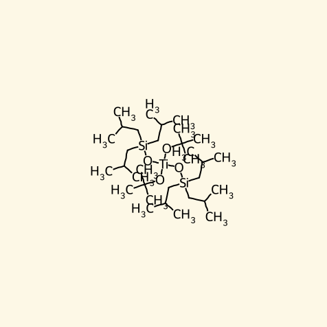 CC(C)C[Si](CC(C)C)(CC(C)C)[O][Ti]([O]C(C)(C)C)([O]C(C)(C)C)[O][Si](CC(C)C)(CC(C)C)CC(C)C